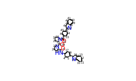 O=C(Nc1ccc(C2=Nc3ccccc3C2)cc1)[C@@H]1CCCN1C(=O)[C@@H]1CCCN1C(=O)c1ccc(C2=Nc3ccccc3C2)cc1